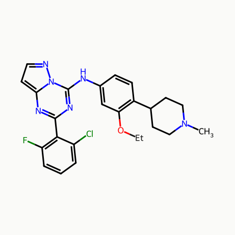 CCOc1cc(Nc2nc(-c3c(F)cccc3Cl)nc3ccnn23)ccc1C1CCN(C)CC1